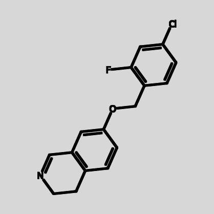 Fc1cc(Cl)ccc1COc1ccc2c(c1)C=NCC2